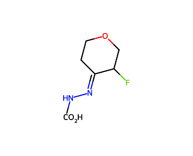 O=C(O)NN=C1CCOCC1F